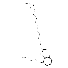 Cc1cccc(SCCCCC(=O)O)c1NC(=O)CCCCCCCCCCS(=O)(=O)CC(C)C